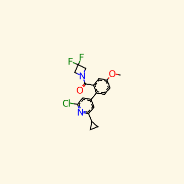 COc1ccc(-c2cc(Cl)nc(C3CC3)c2)c(C(=O)N2CC(F)(F)C2)c1